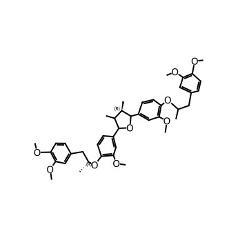 COc1ccc(CC(C)Oc2ccc(C3OC(c4ccc(O[C@H](C)Cc5ccc(OC)c(OC)c5)c(OC)c4)C(C)[C@H]3C)cc2OC)cc1OC